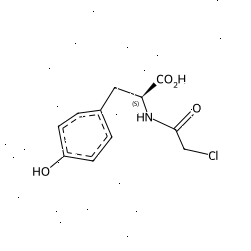 O=C(CCl)N[C@@H](Cc1ccc(O)cc1)C(=O)O